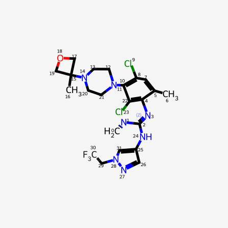 C=N/C(=N\c1c(C)cc(Cl)c(N2CCN(C3(C)COC3)CC2)c1Cl)Nc1cnn(CC(F)(F)F)c1